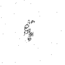 Cc1cc(CN2CCN(C(=O)OC(C)C)[C@@H](C)C2)c(C)c(Nc2nnc(-c3ccnn3C)o2)c1